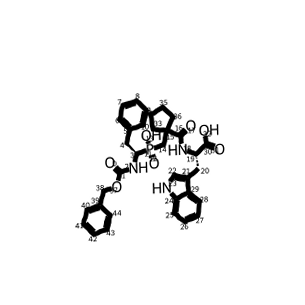 O=C(N[C@@H](Cc1ccccc1)P(=O)(O)CC1(C(=O)N[C@@H](Cc2c[nH]c3ccccc23)C(=O)O)CCCC1)OCc1ccccc1